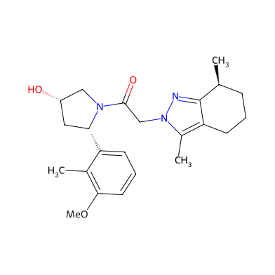 COc1cccc([C@@H]2C[C@H](O)CN2C(=O)Cn2nc3c(c2C)CCC[C@@H]3C)c1C